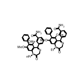 CCCN1C(=O)CN=C(c2cccc(C(N)=O)c2)c2c1cc(OC)c(-c1ccccc1)c2OC.CCN1C(=O)CN=C(c2cccc(C(N)=O)c2)c2c1cc(OC)c(-c1ccccc1)c2OC